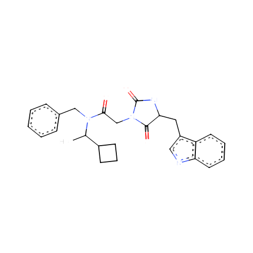 CC(C1CCC1)N(Cc1ccccc1)C(=O)CN1C(=O)NC(Cc2c[nH]c3ccccc23)C1=O